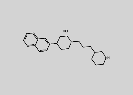 Cl.c1ccc2cc(C3CCN(CCCC4CCCNC4)CC3)ccc2c1